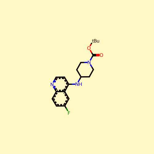 CC(C)(C)OC(=O)N1CCC(Nc2ccnc3ccc(F)cc23)CC1